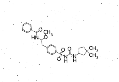 COC(Cc1ccc(S(=O)(=O)NC(=O)NC2CCC(C)(C)C2)cc1)NC(=O)c1ccccc1